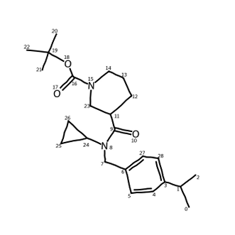 CC(C)c1ccc(CN(C(=O)C2CCCN(C(=O)OC(C)(C)C)C2)C2CC2)cc1